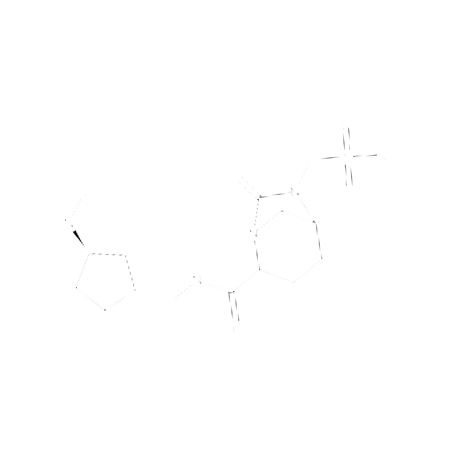 CN[C@@H]1CC[C@@H](ONC(=O)C2CCC3CN2C(=O)N3OS(=O)(=O)O)C1